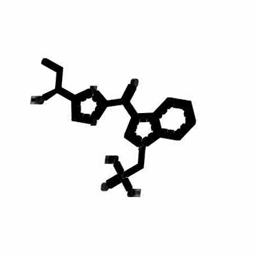 CC[C@H](O)c1csc(C(=O)c2cn(CP(=O)(O)O)c3ccccc23)n1